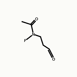 CC(=O)N(F)CCC=O